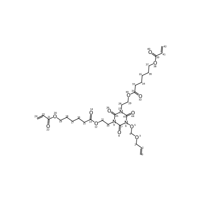 C=CCOCOn1c(=O)n(CCOC(=O)CCCCCOC(=O)C=C)c(=O)n(CCOC(=O)CCCCCOC(=O)C=C)c1=O